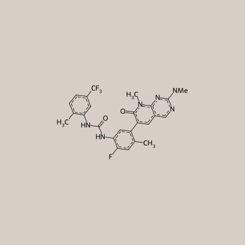 CNc1ncc2cc(-c3cc(NC(=O)Nc4cc(C(F)(F)F)ccc4C)c(F)cc3C)c(=O)n(C)c2n1